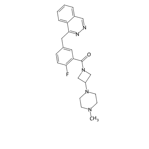 CN1CCN(C2CN(C(=O)c3cc(Cc4nncc5ccccc45)ccc3F)C2)CC1